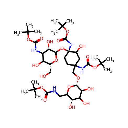 CC(C)(C)OC(=O)NCC1O[C@H](OCC2(NC(=O)OC(C)(C)C)CC[C@](NC(=O)OC(C)(C)C)(OC3O[C@H](CO)C(O)C(NC(=O)OC(C)(C)C)[C@H]3O)C(O)C2)C(O)C(O)[C@@H]1O